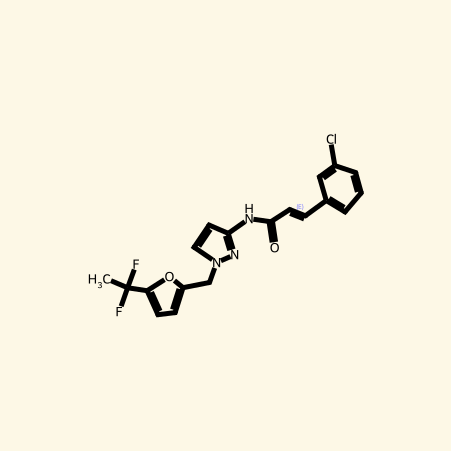 CC(F)(F)c1ccc(Cn2ccc(NC(=O)/C=C/c3cccc(Cl)c3)n2)o1